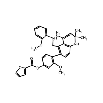 COc1ccccc1NCc1c(-c2ccc(OC(=O)c3ccco3)cc2OC)ccc2c1C(C)=CC(C)(C)N2